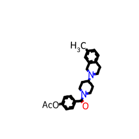 CC(=O)Oc1ccc(C(=O)N2CCC(N3CCc4ccc(C)cc4C3)CC2)cc1